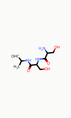 CC(C=O)NC(=O)C(CO)NC(=O)C(N)CO